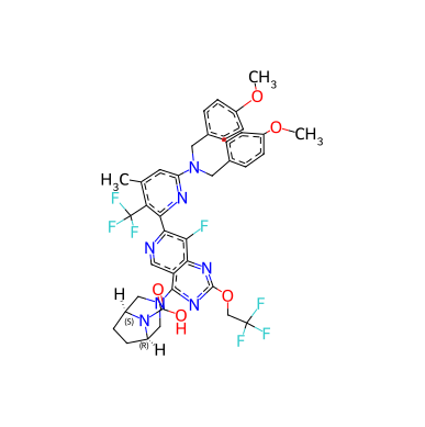 COc1ccc(CN(Cc2ccc(OC)cc2)c2cc(C)c(C(F)(F)F)c(-c3ncc4c(N5C[C@H]6CC[C@@H](C5)N6C(=O)O)nc(OCC(F)(F)F)nc4c3F)n2)cc1